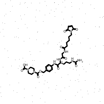 NC(=O)NCCC[C@H](NC(=O)CNC(=O)CCCCCN1C(=O)C=CC1=O)C(=O)Nc1ccc(COC(=O)N2CCN(C(=O)O)CC2)cc1